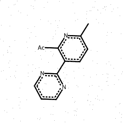 CC(=O)c1nc(C)ccc1-c1ncccn1